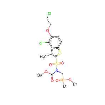 CCOP(=O)(CC)CN(C(=O)OC(C)(C)C)S(=O)(=O)c1sc2ccc(OCCCl)c(Cl)c2c1C